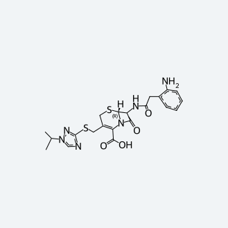 CC(C)n1cnc(SCC2=C(C(=O)O)N3C(=O)C(NC(=O)Cc4ccccc4N)[C@H]3SC2)n1